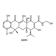 CN(C)[C@@H]1C(O)=C(C(=O)NCO)C(=O)[C@@]2(O)C(O)=C3C(=O)c4c(O)ccc(Cl)c4[C@@](C)(O)C3C[C@@H]12.N#N